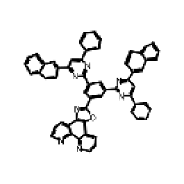 c1ccc(-c2cc(-c3ccc4ccccc4c3)nc(-c3cc(-c4nc(-c5ccccc5)cc(-c5ccc6ccccc6c5)n4)cc(-c4nc5c6cccnc6c6ncccc6c5o4)c3)n2)cc1